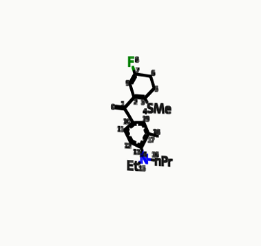 C=C(C1=C(SC)CCC(F)=C1)c1ccc(N(CC)CCC)c(C)c1